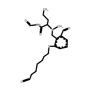 CCCC(C(=O)NC=O)N(C)Cc1c(C=O)cccc1SCCCCCCC=O